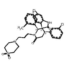 Cc1ccc(F)cc1[C@@H]1N(CCCN2CCS(=O)(=O)CC2)C(=O)C[C@H](c2cccc(Cl)c2)[C@@]12C(=O)Nc1cc(Cl)ccc12